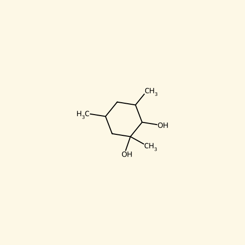 CC1CC(C)C(O)C(C)(O)C1